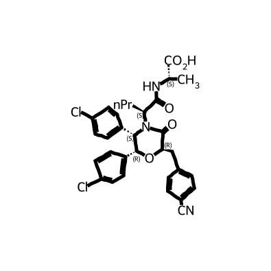 CCC[C@@H](C(=O)N[C@@H](C)C(=O)O)N1C(=O)[C@@H](Cc2ccc(C#N)cc2)O[C@H](c2ccc(Cl)cc2)[C@@H]1c1ccc(Cl)cc1